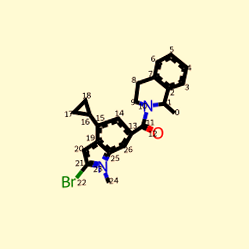 CC1c2ccccc2CCN1C(=O)c1cc(C2CC2)c2cc(Br)n(C)c2c1